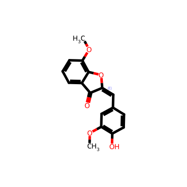 COc1cc(/C=C2/Oc3c(OC)cccc3C2=O)ccc1O